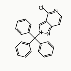 Clc1nccc2nn(C(c3ccccc3)(c3ccccc3)c3ccccc3)cc12